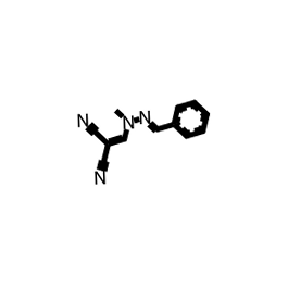 CN(C=C(C#N)C#N)N=Cc1ccccc1